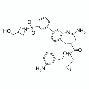 NC1=Nc2cc(-c3cccc(S(=O)(=O)N4CC(CO)C4)c3)ccc2C=C(C(=O)N(CC2CC2)OCc2cccc(N)c2)C1